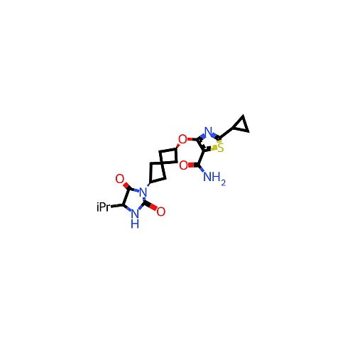 CC(C)C1NC(=O)N([C@H]2CC3(C[C@H](Oc4nc(C5CC5)sc4C(N)=O)C3)C2)C1=O